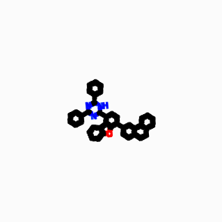 c1ccc(C2=NC(c3ccc(-c4ccc5ccc6ccccc6c5c4)c4oc5ccccc5c34)NC(c3ccccc3)=N2)cc1